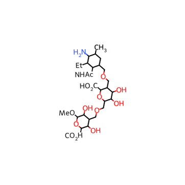 CCC1C(N)C(C)CC(COCC2C(C(=O)O)OC(COCC3C(O)C(OC)OC(C(=O)O)C3O)C(O)C2O)C1NC(C)=O